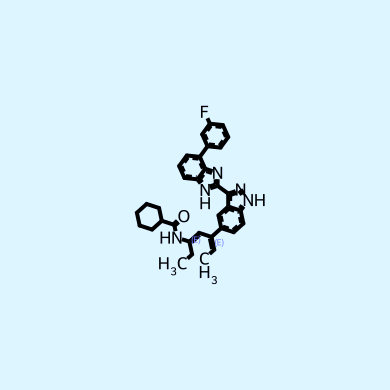 C/C=C(\C=C(/CC)NC(=O)C1CCCCC1)c1ccc2[nH]nc(-c3nc4c(-c5cccc(F)c5)cccc4[nH]3)c2c1